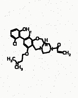 C=CC(=O)N1CCN2Cc3c(OCCN(C)C)cc(-c4c(O)cccc4Cl)c(F)c3OC[C@H]2C1